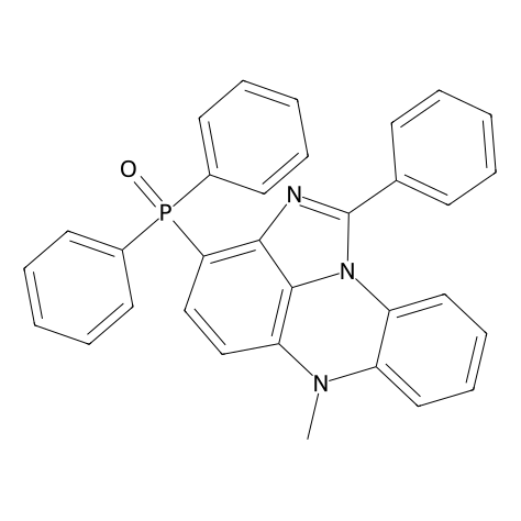 CN1c2ccccc2-n2c(-c3ccccc3)nc3c(P(=O)(c4ccccc4)c4ccccc4)ccc1c32